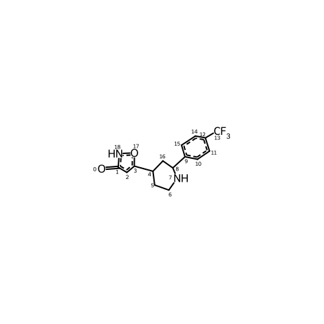 O=c1cc(C2CCNC(c3ccc(C(F)(F)F)cc3)C2)o[nH]1